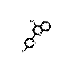 Oc1cc(-c2ccc(Br)cn2)nc2ccncc12